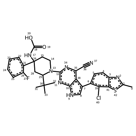 Cc1nc2ccc(-c3c[nH]c4nc(N5CCC(NC(=O)O)(c6ccccc6F)CC5C(C)(C)C)nc(C#N)c34)c(Cl)c2s1